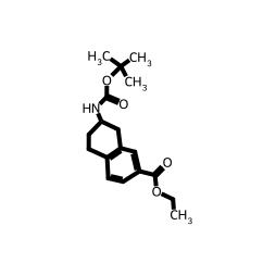 CCOC(=O)c1ccc2c(c1)CC(NC(=O)OC(C)(C)C)CC2